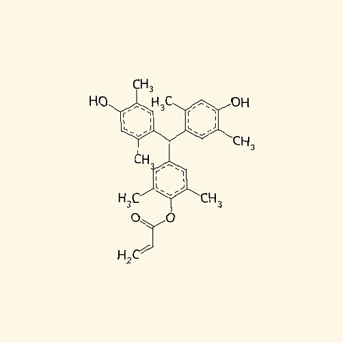 C=CC(=O)Oc1c(C)cc(C(c2cc(C)c(O)cc2C)c2cc(C)c(O)cc2C)cc1C